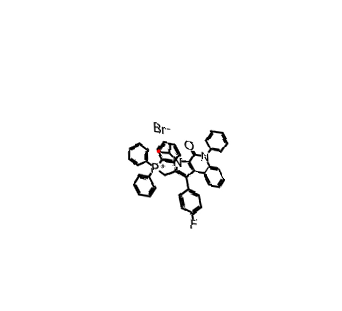 CC(C)n1c(C[P+](c2ccccc2)(c2ccccc2)c2ccccc2)c(-c2ccc(F)cc2)c2c3ccccc3n(-c3ccccc3)c(=O)c21.[Br-]